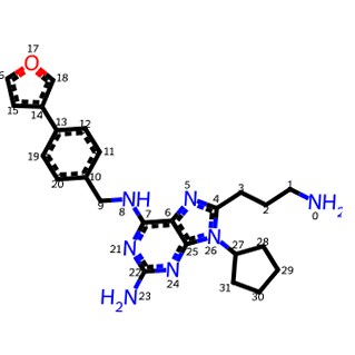 NCCCc1nc2c(NCc3ccc(-c4ccoc4)cc3)nc(N)nc2n1C1CCCC1